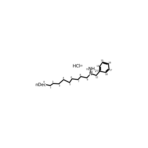 CCCCCCCCCCCCCCCCCCCN(N)Cc1ccccc1.Cl